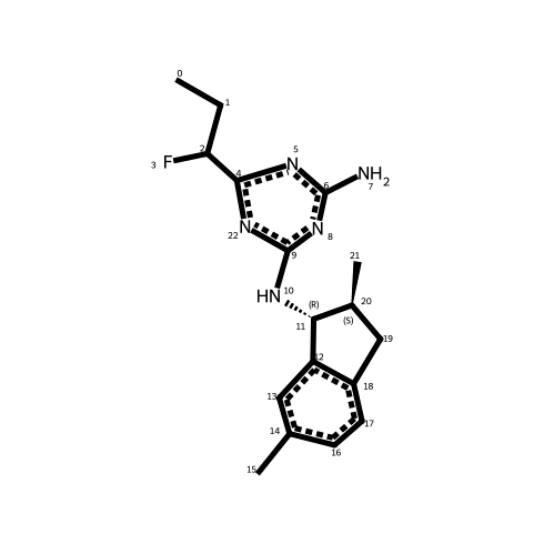 CCC(F)c1nc(N)nc(N[C@H]2c3cc(C)ccc3C[C@@H]2C)n1